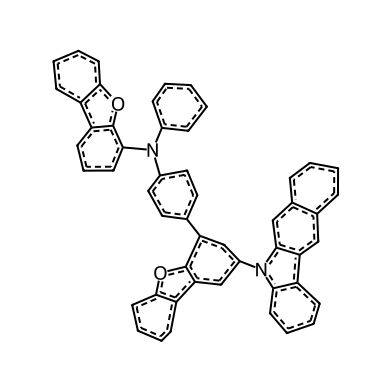 c1ccc(N(c2ccc(-c3cc(-n4c5ccccc5c5cc6ccccc6cc54)cc4c3oc3ccccc34)cc2)c2cccc3c2oc2ccccc23)cc1